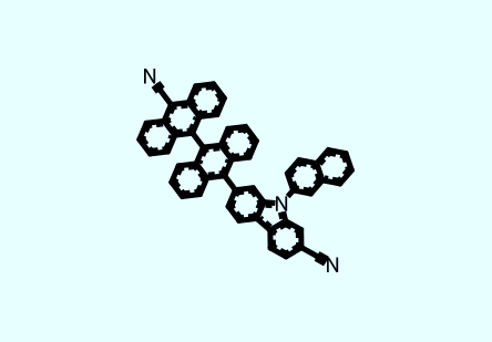 N#Cc1ccc2c3ccc(-c4c5ccccc5c(-c5c6ccccc6c(C#N)c6ccccc56)c5ccccc45)cc3n(-c3ccc4ccccc4c3)c2c1